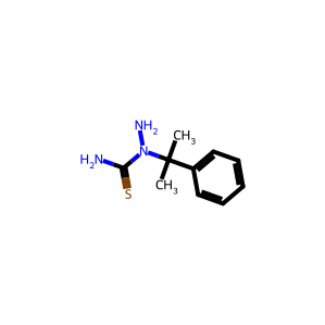 CC(C)(c1ccccc1)N(N)C(N)=S